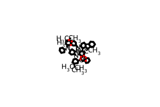 CC(C)(C)c1ccc(N2B3c4cc(N(c5ccccc5)c5ccccc5)ccc4N(c4ccc(C(C)(C)C)cc4-c4ccccc4)c4c3c(cc3c4oc4ccccc43)-c3c2ccc2c3C(C)(C)c3ccccc3-2)cc1